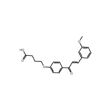 COc1cccc(/C=C/C(=O)c2ccc(OCCCC(=O)O)cc2)c1